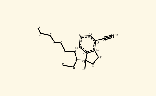 CCCCCCCC(CC)C1(C)CCc2c(C#N)cccc21